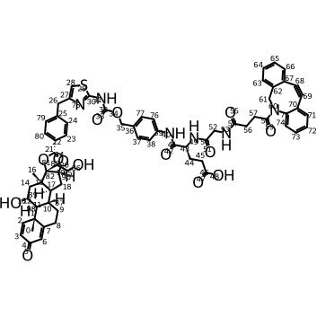 C[C@]12C=CC(=O)C=C1CC[C@@H]1[C@@H]2[C@@H](O)C[C@@]2(C)[C@H]1C[C@H]1O[C@@H](c3ccc(Cc4csc(NC(=O)OCc5ccc(NC(=O)[C@H](CCC(=O)O)NC(=O)CNC(=O)CCC(=O)N6Cc7ccccc7C#Cc7ccccc76)cc5)n4)cc3)O[C@]12C(=O)CO